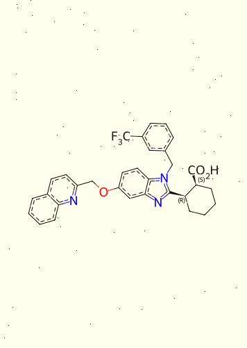 O=C(O)[C@H]1CCCC[C@H]1c1nc2cc(OCc3ccc4ccccc4n3)ccc2n1Cc1cccc(C(F)(F)F)c1